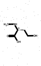 CN[C@H](CCO)C(=O)O